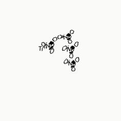 [O]=[Nb](=[O])[O-].[O]=[Nb](=[O])[O-].[O]=[Nb](=[O])[O-].[O]=[Nb](=[O])[O-].[Ti+4]